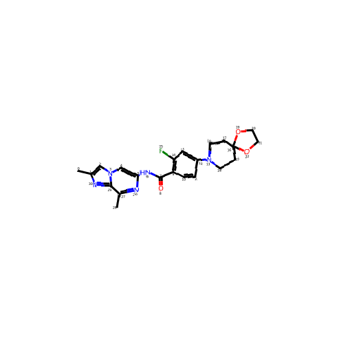 Cc1cn2cc(NC(=O)c3ccc(N4CCC5(CC4)OCCO5)cc3F)nc(C)c2n1